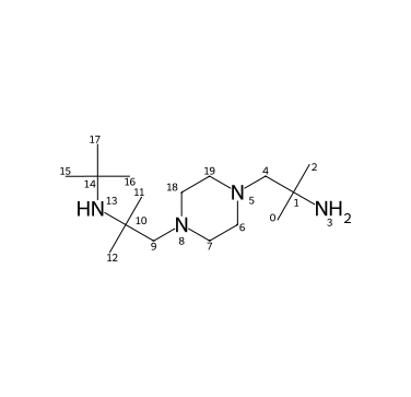 CC(C)(N)CN1CCN(CC(C)(C)NC(C)(C)C)CC1